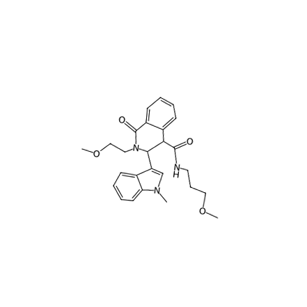 COCCCNC(=O)C1c2ccccc2C(=O)N(CCOC)C1c1cn(C)c2ccccc12